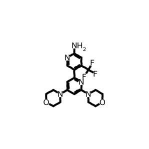 Nc1cc(C(F)(F)F)c(-c2cc(N3CCOCC3)cc(N3CCOCC3)n2)cn1